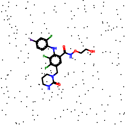 O=C(NOCCO)c1cc(CN2CCCNC2=O)c(F)c(F)c1Nc1ccc(I)cc1F